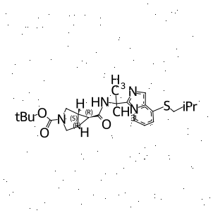 CC(C)CSc1cccn2c(C(C)(C)NC(=O)[C@H]3[C@@H]4CN(C(=O)OC(C)(C)C)C[C@@H]43)ncc12